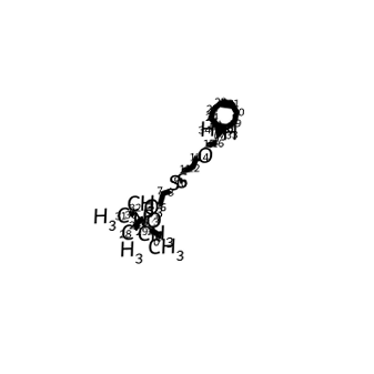 CCCOP(OCCCSSCCCOCC[C@H]1[C@@H]2CCC#CCC[C@@H]21)N(C(C)C)C(C)C